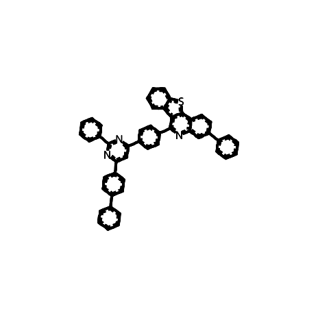 c1ccc(-c2ccc(-c3cc(-c4ccc(-c5nc6cc(-c7ccccc7)ccc6c6sc7ccccc7c56)cc4)nc(-c4ccccc4)n3)cc2)cc1